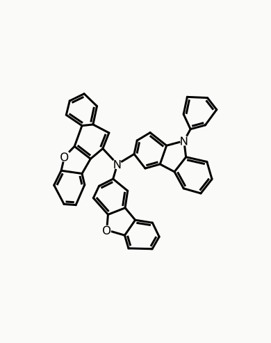 c1ccc(-n2c3ccccc3c3cc(N(c4ccc5oc6ccccc6c5c4)c4cc5ccccc5c5oc6ccccc6c45)ccc32)cc1